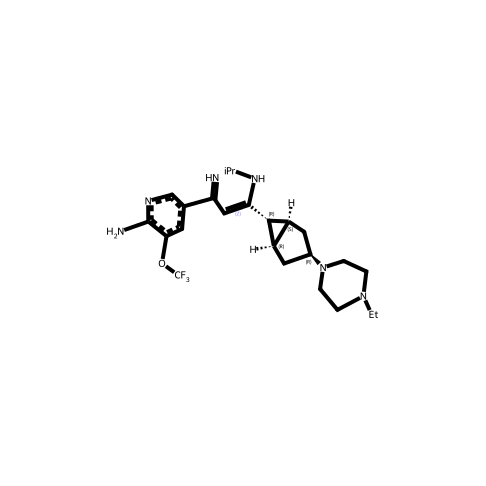 CCN1CCN([C@H]2C[C@@H]3[C@H](C2)[C@H]3/C(=C/C(=N)c2cnc(N)c(OC(F)(F)F)c2)NC(C)C)CC1